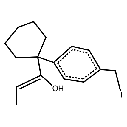 CC=C(O)C1(c2ccc(CI)cc2)CCCCC1